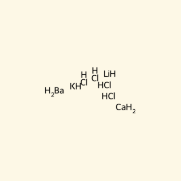 Cl.Cl.Cl.Cl.[BaH2].[CaH2].[KH].[LiH]